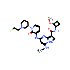 CNc1cc(Nc2cccn([C@H]3CCCN(CCF)C3)c2=O)nc2c(C(=O)NC3CC[C@H]3OC)cnn12